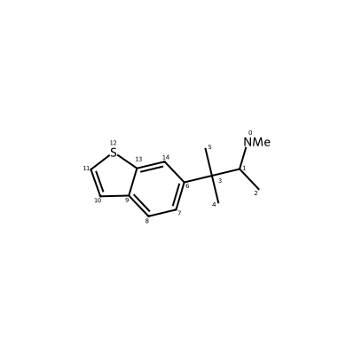 CNC(C)C(C)(C)c1ccc2ccsc2c1